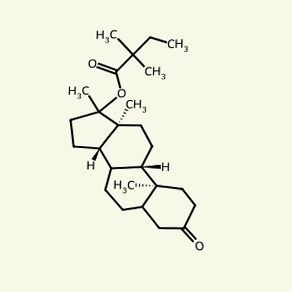 CCC(C)(C)C(=O)OC1(C)CC[C@H]2C3CCC4CC(=O)CC[C@]4(C)[C@H]3CC[C@@]21C